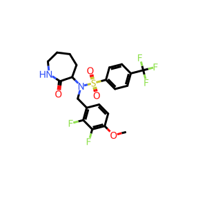 COc1ccc(CN(C2CCCCNC2=O)S(=O)(=O)c2ccc(C(F)(F)F)cc2)c(F)c1F